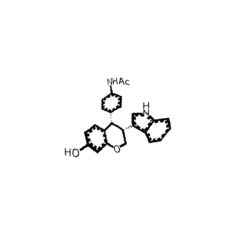 CC(=O)Nc1ccc([C@H]2c3ccc(O)cc3OC[C@H]2c2c[nH]c3ccccc23)cc1